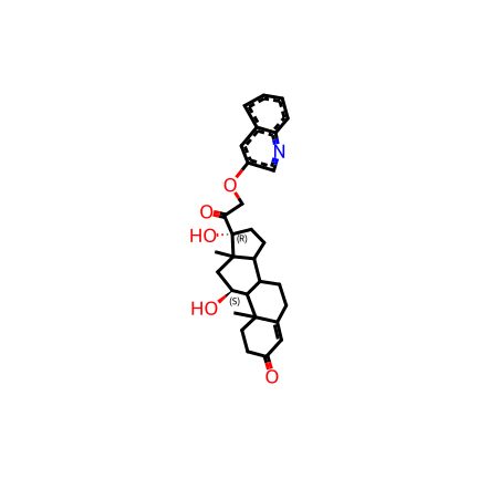 CC12CCC(=O)C=C1CCC1C2[C@@H](O)CC2(C)C1CC[C@]2(O)C(=O)COc1cnc2ccccc2c1